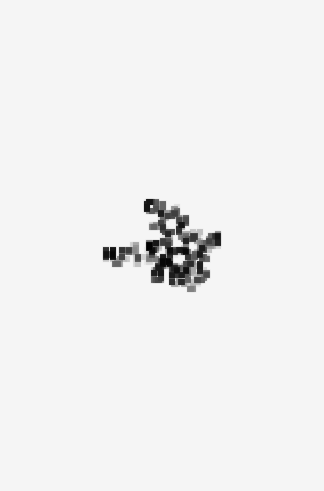 C=CC[C@@H]1O[C@@H](c2cccc(Cl)c2)[C@@H](c2ccc(Cl)cc2)N([C@H](C)C(=O)O)C1=O